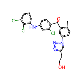 Cc1ccc(-n2cc(CCO)nn2)cc1C(=O)c1ccc(Nc2cccc(Cl)c2Cl)cc1Cl